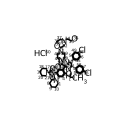 CCOc1cc(N2CCCCC2)c(S(=O)(=O)N2CCCCC2)cc1C1(C(=O)N2CCN(C3CN(CC=O)CCO3)CC2)N[C@H](c2ccc(Cl)cc2)[C@H](c2ccc(Cl)cc2)N1.Cl